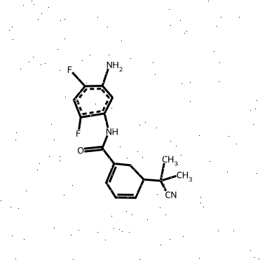 CC(C)(C#N)C1C=CC=C(C(=O)Nc2cc(N)c(F)cc2F)C1